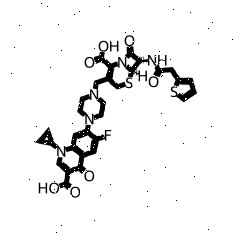 O=C(Cc1cccs1)N[C@@H]1C(=O)N2C(C(=O)O)=C(CN3CCN(c4cc5c(cc4F)c(=O)c(C(=O)O)cn5C4CC4)CC3)CS[C@H]12